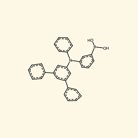 OB(O)c1cccc(N(c2ccccc2)c2cc(-c3ccccc3)cc(-c3ccccc3)c2)c1